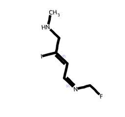 CNC/C(I)=C/C=N\CF